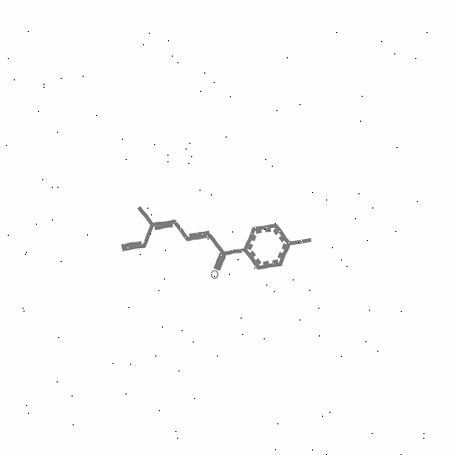 C=C/C(C)=C\C=C\C(=O)c1ccc(C)cc1